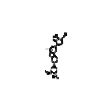 CO[C@@H]1CN(C2=CCC3=C4CN(c5ccc(C#N)n6nccc56)C[C@@H](C)N4CC3=C2)CC[C@@H]1N